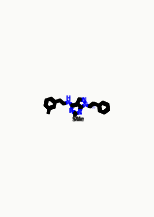 CSc1nc(NCCc2cccc(C)c2)c2cnn(/C=C/c3ccccc3)c2n1